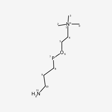 C[N+](C)(C)CCO[P-]CCCN